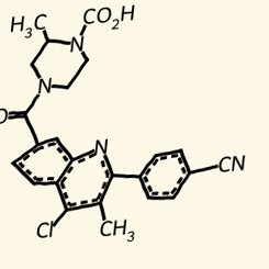 Cc1c(-c2ccc(C#N)cc2)nc2cc(C(=O)N3CCN(C(=O)O)C(C)C3)ccc2c1Cl